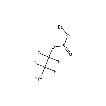 CCOS(=O)OC(F)(F)C(F)(F)C(F)(F)F